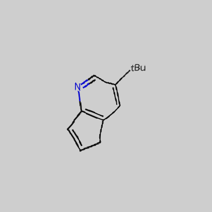 CC(C)(C)c1cnc2c(c1)CC=C2